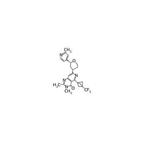 Cc1cc([C@@H]2C[C@H](c3cc4nc(C)n(C)c(=O)c4c(C45CC(C(F)(F)F)(C4)C5)n3)CCO2)ccn1